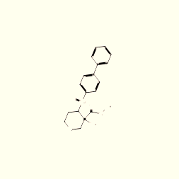 O=C(NO)C1(O)CNCCC1S(=O)(=O)c1ccc(-c2ccccc2)cc1